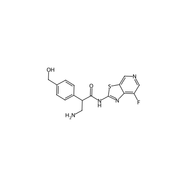 NCC(C(=O)Nc1nc2c(F)cncc2s1)c1ccc(CO)cc1